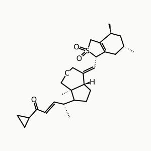 C[C@@H]1CC2=C(CS(=O)(=O)[C@H]2/C=C2\CCC[C@]3(C)C([C@H](C)/C=C/C(=O)C4CC4)CC[C@@H]23)[C@@H](C)C1